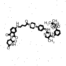 Cc1cnc(Nc2ccc(N3CCN(C(=O)CCCNc4ccc5c(c4)C(=O)N(C4CCC(=O)NC4=O)C5=O)CC3)cc2)nc1Nc1cccc(S(=O)(=O)NC(C)(C)C)c1